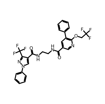 O=C(NCCNC(=O)c1cn(-c2ccccc2)nc1C(F)(F)F)c1cnc(OCC(F)(F)F)c(-c2ccccc2)c1